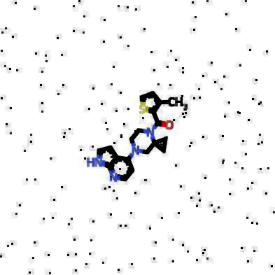 Cc1ccsc1C(=O)N1CCN(c2ccnc3[nH]ccc23)CC12CC2